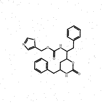 O=C(NC(Cc1ccccc1)C1CC(Cc2ccccc2)NC(=O)O1)OCc1cncs1